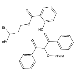 CCCC(CC)CCOC(=O)c1ccccc1O.CCCCCOC(C(=O)c1ccccc1)C(=O)c1ccccc1